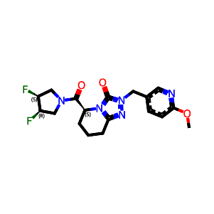 COc1ccc(Cn2nc3n(c2=O)[C@H](C(=O)N2C[C@@H](F)[C@@H](F)C2)CCC3)cn1